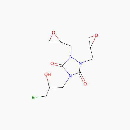 O=c1n(CC(O)CBr)c(=O)n(CC2CO2)n1CC1CO1